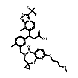 COCCCOc1ccc2c(n1)OC1(CC1)CN(Cc1cc(C(CC(=O)O)c3ccn4c(C(F)(F)F)nnc4c3C)ccc1C)[S+]2[O-]